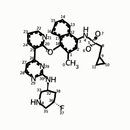 Cc1cc(NS(=O)(=O)CC2CC2)c2ccccc2c1Oc1ncccc1-c1ccnc(N[C@@H]2CNC[C@@H](F)C2)n1